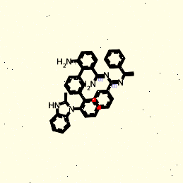 C=C(/N=C(\N=C(/N)c1cccc(N)c1-c1cccc(-c2ccccc2N2c3ccccc3NC2C)c1)c1ccccc1)c1ccccc1